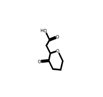 O=C(O)CC1OCCCC1=O